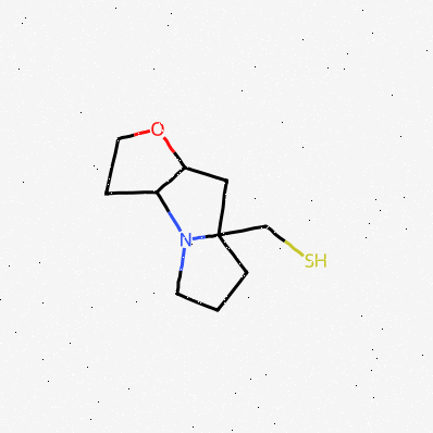 SCC12CCCN1C1CCOC1C2